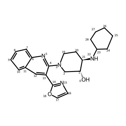 O[C@@H]1CN(c2nc3ccccc3cc2-c2ncco2)CC[C@H]1NC1CCCCC1